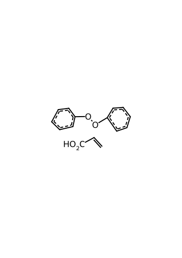 C=CC(=O)O.c1ccc(OOc2ccccc2)cc1